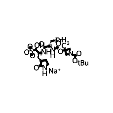 CC(C)C[C@H](NC(=O)OC1(C)CN(C(=O)OC(C)(C)C)C1)C(=O)N[C@@H](C[C@H]1CCNC1=O)C(O)S(=O)(=O)[O-].[Na+]